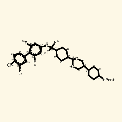 CCCCCC1CCC(C2COC(C3CCC(C(F)(F)Oc4cc(F)c(-c5ccc(Cl)c(F)c5)c(F)c4)CC3)OC2)CC1